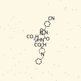 N#Cc1ccc(-c2nc(C(=O)NCCC3CCN(Cc4ccccc4)CC3)no2)cc1.O=C(O)/C=C/C(=O)O